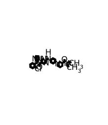 CCN(CC)C(=O)C1CCCN(c2ccc(Nc3ncc4c(=O)n(-c5ccccc5Cl)c5nccn5c4n3)cc2)C1